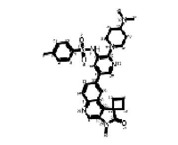 Cc1ccc(S(=O)(=O)Nc2cc(-c3ccc4ncc5c(c4c3)C3(CCC3)C(=O)N5C)cnc2N2CCC(N(C)C)CC2)cc1